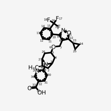 C[C@@H]1CC2CC(OCc3c(-c4ccccc4C(F)(F)F)noc3C3CC3)CC1N2c1ccc(C(=O)O)cn1